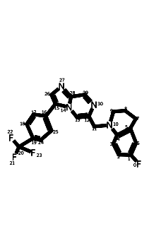 Fc1ccc2c(c1)CCCN2Cc1cn2c(-c3ccc(C(F)(F)F)cc3)cnc2cn1